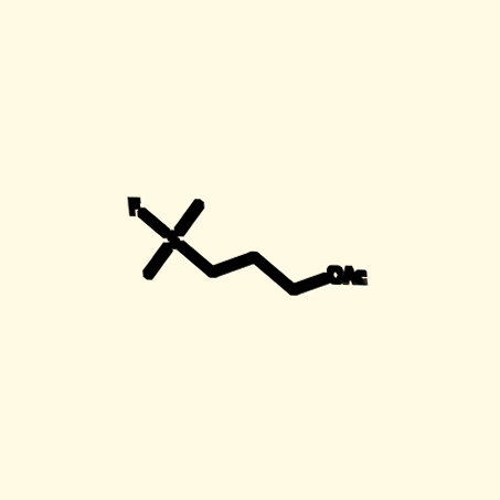 CC(=O)OCCCS(C)(C)F